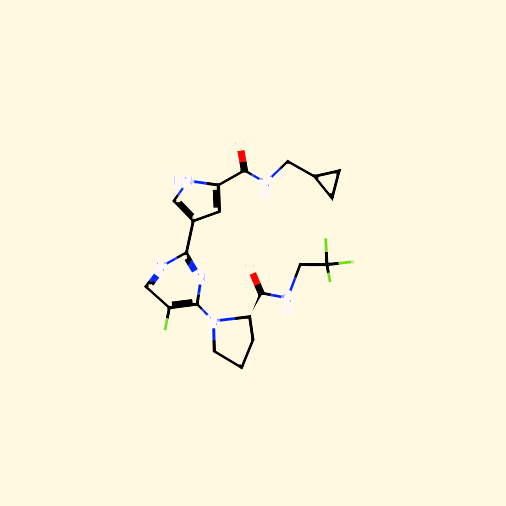 O=C(NCC1CC1)c1cc(-c2ncc(F)c(N3CCC[C@@H]3C(=O)NCC(F)(F)F)n2)c[nH]1